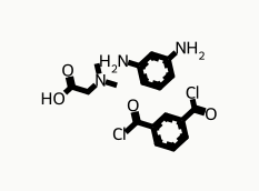 CN(C)CC(=O)O.Nc1cccc(N)c1.O=C(Cl)c1cccc(C(=O)Cl)c1